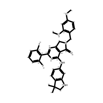 COc1ccc(CN2Cc3nc(-c4c(F)cccc4F)nc(Nc4ccc5c(c4)NCC5(C)C)c3C2=O)c(OC)c1